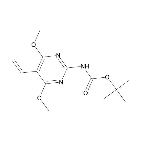 C=Cc1c(OC)nc(NC(=O)OC(C)(C)C)nc1OC